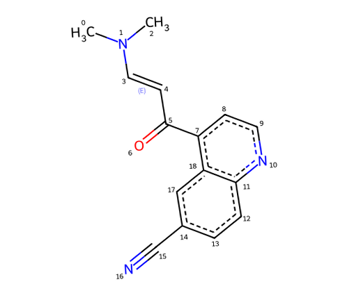 CN(C)/C=C/C(=O)c1ccnc2ccc(C#N)cc12